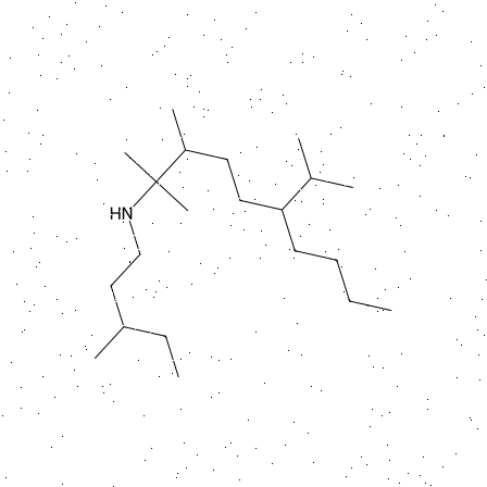 CCCCC(CCC(C)C(C)(C)NCCC(C)CC)C(C)C